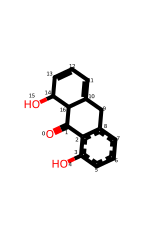 O=C1c2c(O)cccc2CC2=CC=CC(O)C12